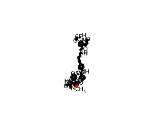 COc1cccc(Nc2c(C(N)=O)cnc3c(C)cc(S(=O)(=O)c4cccc(C(=O)Nc5ccc(C#CCCCNC[C@H](O)c6ccc(OC(=O)C(F)(F)F)c7[nH]c(=O)ccc67)cc5)c4)cc23)c1